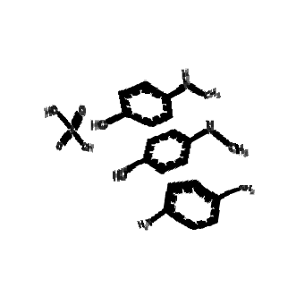 CNc1ccc(O)cc1.CNc1ccc(O)cc1.Nc1ccc(N)cc1.O=S(=O)(O)O